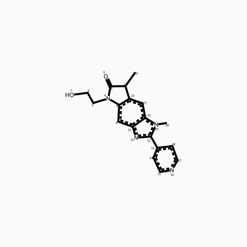 CC1C(=O)N(CCO)c2cc3nc(-c4ccncc4)n(C)c3cc21